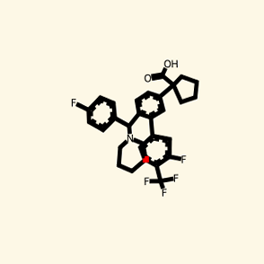 O=C(O)C1(c2ccc(C(c3ccc(F)cc3)N3CCCCC3)c(-c3ccc(C(F)(F)F)c(F)c3)c2)CCCC1